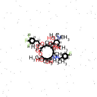 CC[C@H]1OC(=O)[C@H](C)[C@@H](OC(=O)Cc2cc(F)c(F)c(F)c2)[C@H](C)[C@@H](OC2OC(C)CC(N(C)C)C2O)[C@](C)(O)C[C@@H](C)/C(=N\N=C(/C)c2ccc(F)cc2)[C@H](C)[C@@H](O)[C@]1(C)O